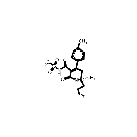 Cc1ccc(C2=C(C(=O)NS(C)(=O)=O)C(=O)N[C@](C)(CCC(C)C)C2)cc1